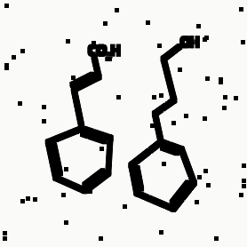 O=C(O)/C=C/c1ccccc1.OCCCc1ccccc1